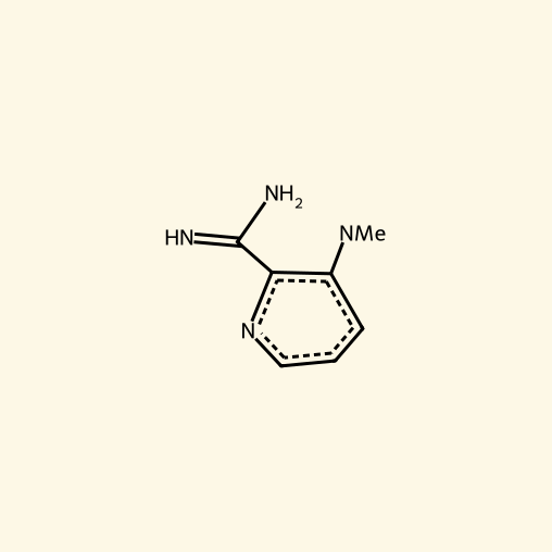 CNc1cccnc1C(=N)N